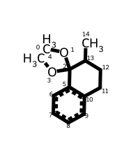 COC1(OC)c2ccccc2CCC1C